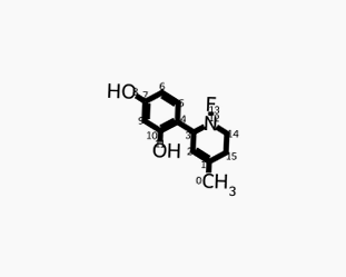 CC1=CC(c2ccc(O)cc2O)N(F)CC1